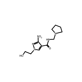 O=C(NCN1CCCC1)c1cn(CCO)nc1[N+](=O)[O-]